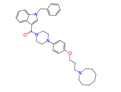 O=C(c1cn(Cc2ccccc2)c2ccccc12)N1CCN(c2ccc(OCCCN3CCCCCCC3)cc2)CC1